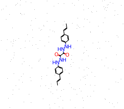 CC=Cc1ccc(NNC(=O)C(=O)NNc2ccc(C=CC)cc2)cc1